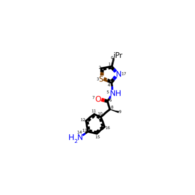 CC(C)c1csc(NC(=O)[C@@H](C)c2ccc(N)cc2)n1